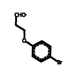 O=[C]CCOc1ccc(Br)cc1